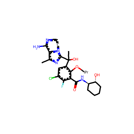 Cc1nc(C(C)(O)c2cc(Cl)c(F)c(C(=O)N[C@@H]3CCCC[C@H]3O)c2OC(C)C)n2ccnc(N)c12